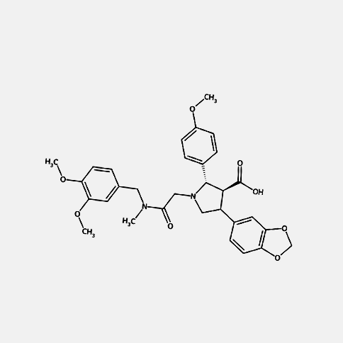 COc1ccc([C@@H]2[C@@H](C(=O)O)C(c3ccc4c(c3)OCO4)CN2CC(=O)N(C)Cc2ccc(OC)c(OC)c2)cc1